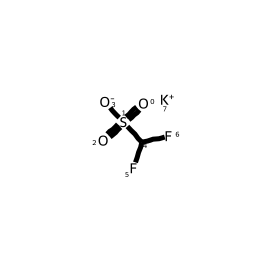 O=S(=O)([O-])C(F)F.[K+]